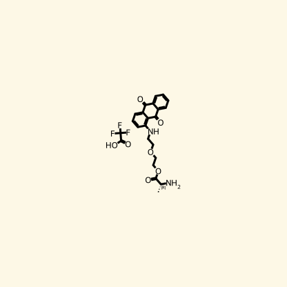 C[C@@H](N)C(=O)OCCOCCNc1cccc2c1C(=O)c1ccccc1C2=O.O=C(O)C(F)(F)F